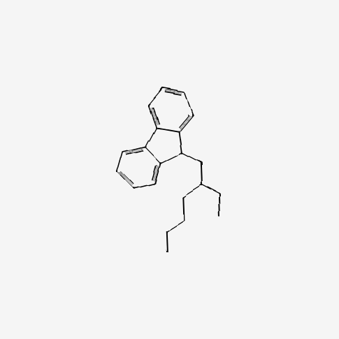 CCCCC(CC)CC1c2c[c]ccc2-c2cc[c]cc21